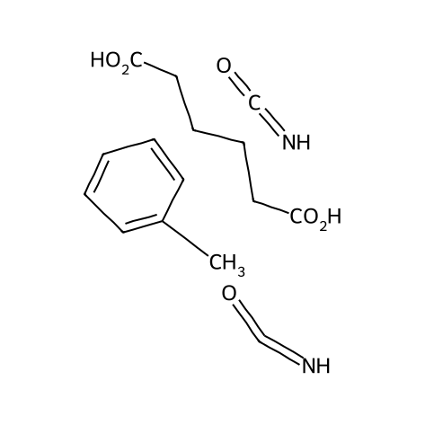 Cc1ccccc1.N=C=O.N=C=O.O=C(O)CCCCC(=O)O